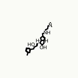 Cc1cccc(C[C@@H](O)/C=C/[C@@H]2[C@H]3CC(CNCCCN(C)C)=C[C@H]3C[C@H]2O)c1